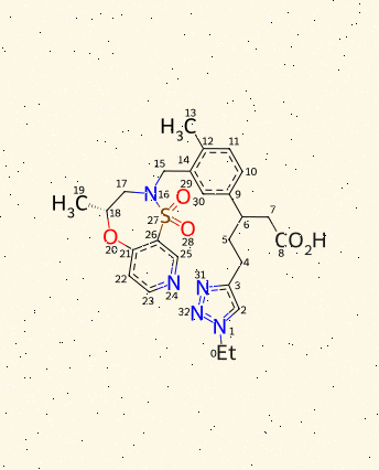 CCn1cc(CCC(CC(=O)O)c2ccc(C)c(CN3C[C@@H](C)Oc4ccncc4S3(=O)=O)c2)nn1